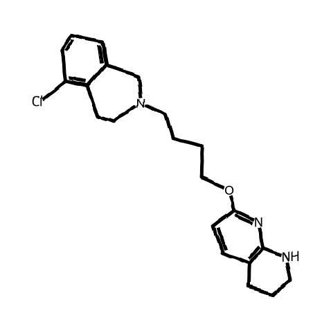 Clc1cccc2c1CCN(CCCCOc1ccc3c(n1)NCCC3)C2